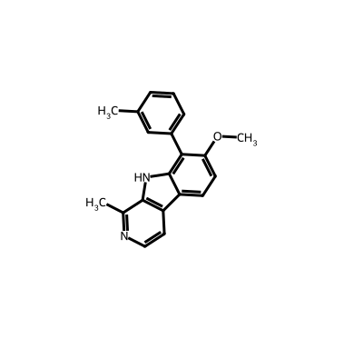 COc1ccc2c([nH]c3c(C)nccc32)c1-c1cccc(C)c1